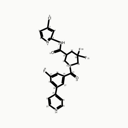 O=C(Nc1cc(Cl)ccn1)C1CN(C(=O)c2cc(F)cc(-c3ccncc3)c2)CC(F)(F)C1